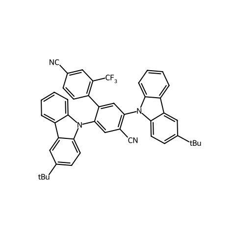 CC(C)(C)c1ccc2c(c1)c1ccccc1n2-c1cc(-c2ccc(C#N)cc2C(F)(F)F)c(-n2c3ccccc3c3cc(C(C)(C)C)ccc32)cc1C#N